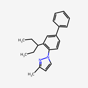 CCC(CC)c1cc(-c2ccccc2)ccc1-n1ccc(C)n1